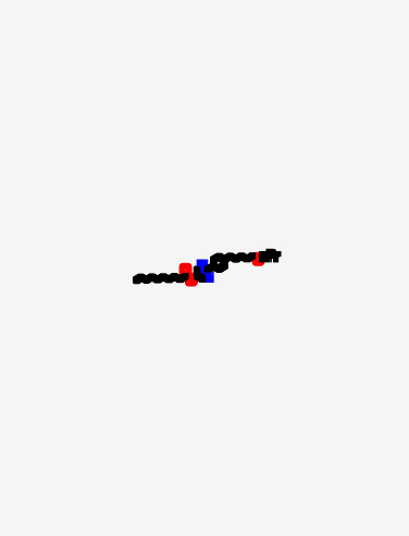 C=CCCCCCCCC(=O)Oc1cnc(-c2ccc(CCCCCOCCC)cc2)nc1